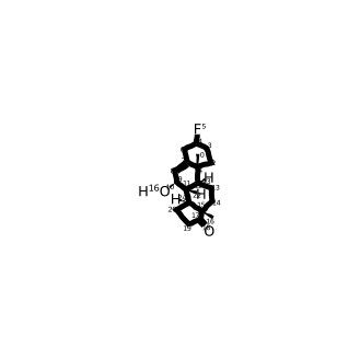 C[C@]12CCC(F)CC1=C[C@@H]([16OH])[C@@H]1[C@@H]2CC[C@]2(C)C(=O)CC[C@@H]12